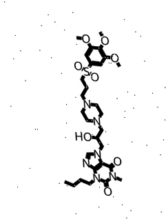 CCCCn1c(=O)n(C)c(=O)c2c1ncn2CC(O)CN1CCN(CCCS(=O)(=O)c2cc(OC)c(OC)c(OC)c2)CC1